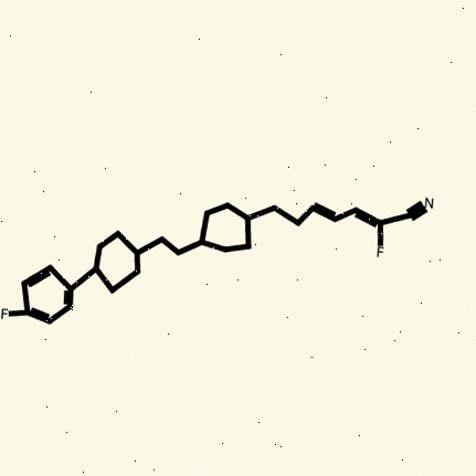 N#CC(F)=CC=CCCC1CCC(CCC2CCC(c3ccc(F)cc3)CC2)CC1